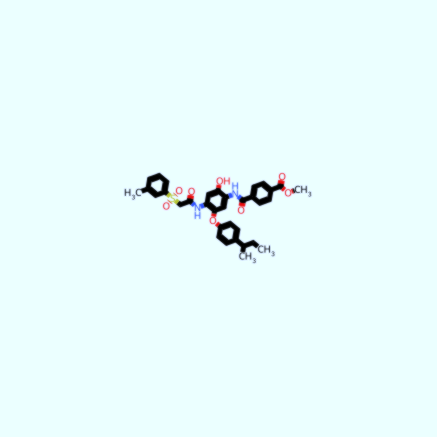 CCC(C)c1ccc(Oc2cc(NC(=O)c3ccc(C(=O)OC)cc3)c(O)cc2NC(=O)CS(=O)(=O)c2cccc(C)c2)cc1